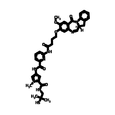 COc1cc2c(cc1OCCCC(=O)Nc1cccc(C(=O)Nc3cc(C(=O)NCC(C)(C)S)n(C)c3)n1)N=C[C@@H]1Cc3ccccc3N1C2=O